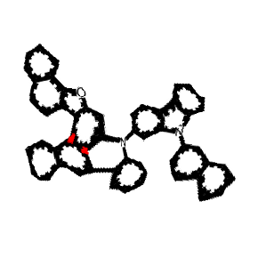 c1ccc(N(c2ccc3c(c2)oc2c4ccccc4ccc32)c2ccc3c4ccccc4n(-c4ccc5ccccc5c4)c3c2)c(-c2ccc3ccccc3c2)c1